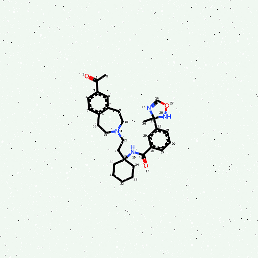 CC(=O)c1ccc2c(c1)CCN(CCC1(NC(=O)c3cccc(C4(C)N=CON4)c3)CCCCC1)CC2